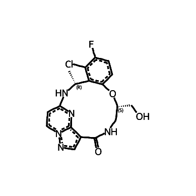 C[C@H]1Nc2ccn3ncc(c3n2)C(=O)NC[C@@H](CO)Oc2ccc(F)c(Cl)c21